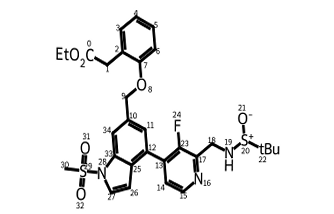 CCOC(=O)Cc1ccccc1OCc1cc(-c2ccnc(CN[S+]([O-])C(C)(C)C)c2F)c2ccn(S(C)(=O)=O)c2c1